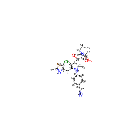 Cc1nc(Cc2c(Cl)c(C(=O)CN3C4CCC3[C@@H](O)C4)c(C)n2-c2ccc(C#N)cc2)cs1